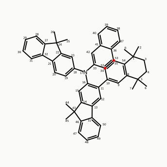 CC1(C)CCC(C)(C)c2cc(-c3cc4c(cc3N(c3ccc5c(c3)C(C)(C)c3ccccc3-5)c3ccc5ccccc5c3)C(C)(C)c3ccccc3-4)ccc21